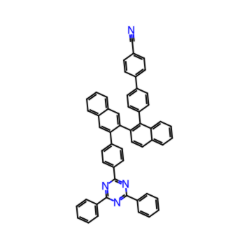 N#Cc1ccc(-c2ccc(-c3c(-c4cc5ccccc5cc4-c4ccc(-c5nc(-c6ccccc6)nc(-c6ccccc6)n5)cc4)ccc4ccccc34)cc2)cc1